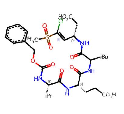 CCC(C)C(NC(=O)[C@H](CCC(=O)O)NC(=O)[C@@H](NC(=O)OCc1ccccc1)C(C)C)C(=O)N[C@H](/C=C(\Cl)S(C)(=O)=O)CC(=O)O